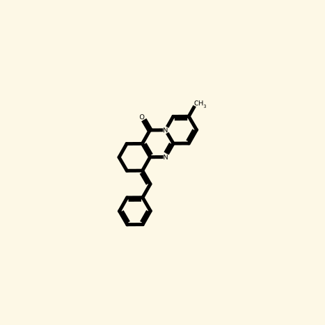 Cc1ccc2nc3c(c(=O)n2c1)CCCC3=Cc1ccccc1